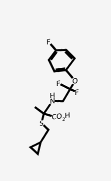 CC(NCC(F)(F)Oc1ccc(F)cc1)(SCC1CC1)C(=O)O